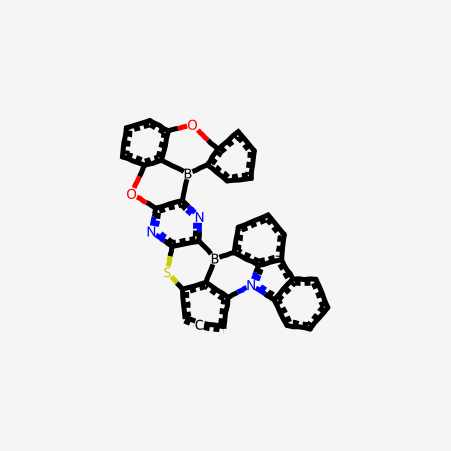 c1ccc2c(c1)Oc1cccc3c1B2c1nc2c(nc1O3)Sc1cccc3c1B2c1cccc2c4ccccc4n-3c12